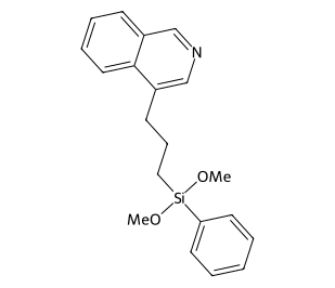 CO[Si](CCCc1cncc2ccccc12)(OC)c1ccccc1